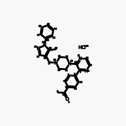 CC(=O)c1ccc(-c2nccnc2N2CCN(Cc3cnn(-c4ccccc4)c3C)CC2)cc1.Cl